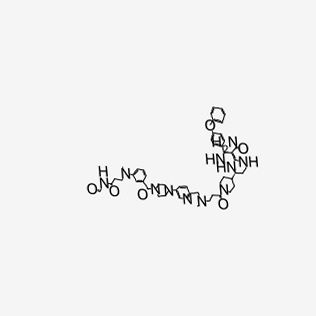 CN(CCC(=O)N1CCC([C@@H]2CCN/C(=C(/C(=N)c3ccc(Oc4ccccc4)cc3)C(N)=O)N2)CC1)Cc1ccc(N2CCN(C(=O)c3cccc(N(C)CCC(=O)NC=O)c3)CC2)cn1